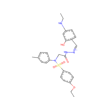 CCNc1ccc(/C=N\NC(=O)CN(c2ccc(C)cc2)S(=O)(=O)c2ccc(OCC)cc2)c(O)c1